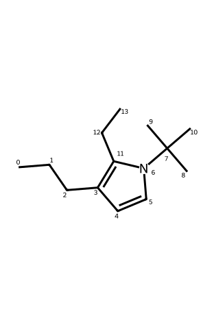 CCCc1ccn(C(C)(C)C)c1CC